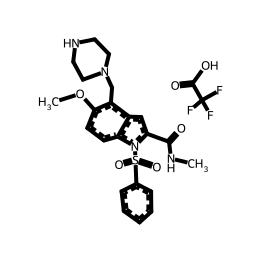 CNC(=O)c1cc2c(CN3CCNCC3)c(OC)ccc2n1S(=O)(=O)c1ccccc1.O=C(O)C(F)(F)F